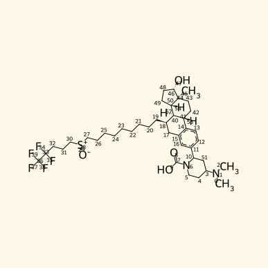 CN(C)C1CCN(C(=O)O)C(c2ccc3c(c2)C[C@@H](CCCCCCCCC[S+]([O-])CCCC(F)(F)C(F)(F)F)[C@@H]2[C@@H]3CC[C@]3(C)[C@@H](O)CC[C@@H]23)C1